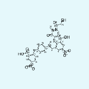 CN(Cc1cc([N+](=O)[O-])cc(C(=O)O)c1SCC(=O)N(C)N(C)C(=O)CS)c1ccc(Sc2ccc([N+](=O)[O-])cc2C(=O)O)cc1